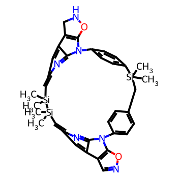 C[Si]1(C)Cc2ccc(cc2)-n2c3ncc(cc3c3cnoc32)[Si](C)(C)[Si](C)(C)c2cnc3c(c2)c2c(n3-c3ccc1cc3)ONC2